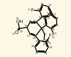 CCC1(c2ccccc2F)C(c2ccccc2F)=CC(C(=O)O)C=C1c1ccccc1F